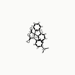 CN(C)c1ccc(N2C(=O)OC(=O)C23c2ccccc2-c2ccccc23)cc1